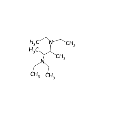 CCN(CC)C(C)C(C)N(CC)CC